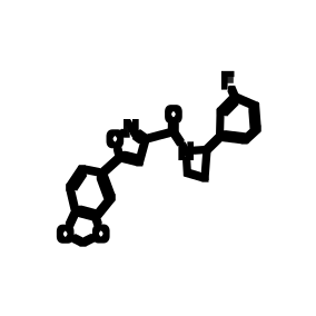 O=C(c1cc(-c2ccc3c(c2)OCO3)on1)N1CCC1c1cccc(F)c1